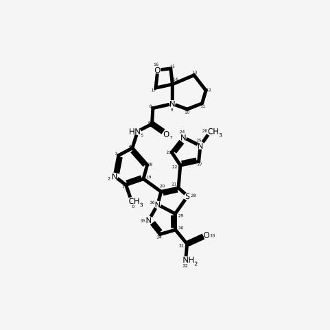 Cc1ncc(NC(=O)CN2CCCCC23COC3)cc1-c1c(-c2cnn(C)c2)sc2c(C(N)=O)cnn12